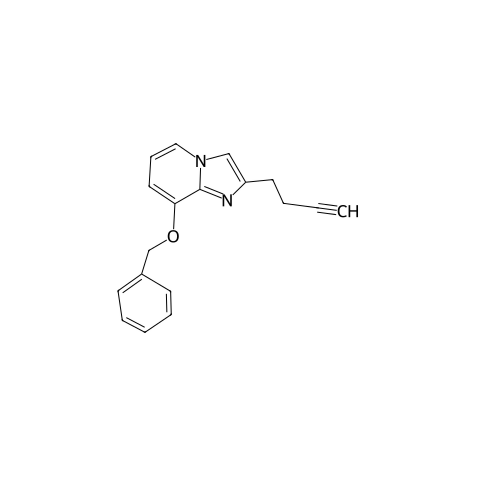 C#CCCc1cn2cccc(OCc3ccccc3)c2n1